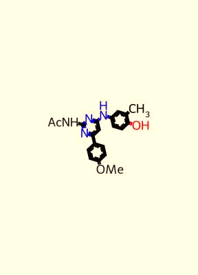 COc1ccc(-c2cc(Nc3ccc(O)c(C)c3)nc(NC(C)=O)n2)cc1